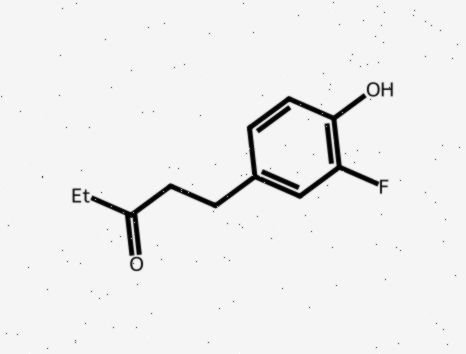 CCC(=O)CCc1ccc(O)c(F)c1